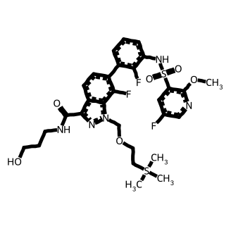 COc1ncc(F)cc1S(=O)(=O)Nc1cccc(-c2ccc3c(C(=O)NCCCO)nn(COCCS(C)(C)C)c3c2F)c1F